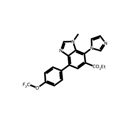 CCOC(=O)c1cc(-c2ccc(OC(F)(F)F)cc2)c2ncn(C)c2c1-n1ccnc1